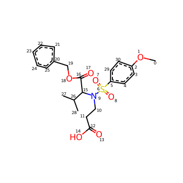 COc1ccc(S(=O)(=O)N(CCC(=O)O)C(C(=O)OCc2ccccc2)C(C)C)cc1